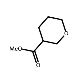 COC(=O)C1CCCOC1